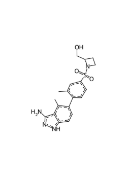 Cc1cc(S(=O)(=O)N2CCC2CO)ccc1-c1ccc2[nH]nc(N)c2c1C